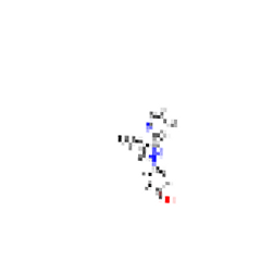 O=[N+]([O-])c1cn([C@H]2CC[C@@H](O)CC2)nc1-c1ccccn1